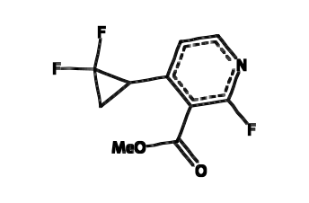 COC(=O)c1c(C2CC2(F)F)ccnc1F